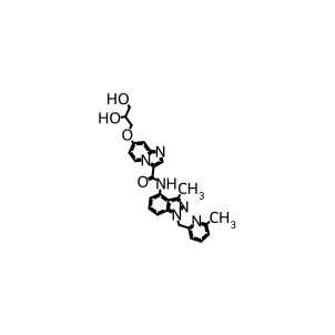 Cc1cccc(Cn2nc(C)c3c(NC(=O)c4cnc5cc(OCC(O)CO)ccn45)cccc32)n1